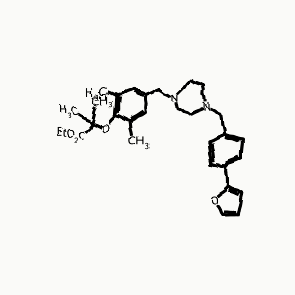 CCOC(=O)C(C)(C)Oc1c(C)cc(CN2CCN(Cc3ccc(-c4ccco4)cc3)CC2)cc1C